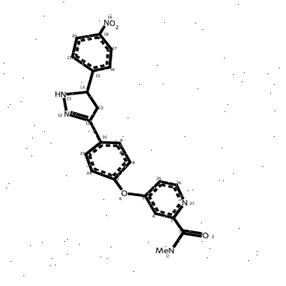 CNC(=O)c1cc(Oc2ccc(C3=NNC(c4ccc([N+](=O)[O-])cc4)C3)cc2)ccn1